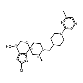 Cc1cncc(N2CCC(CN3CC[C@]4(C[C@@H]3C)OC[C@H](O)c3cc(Cl)sc34)CC2)n1